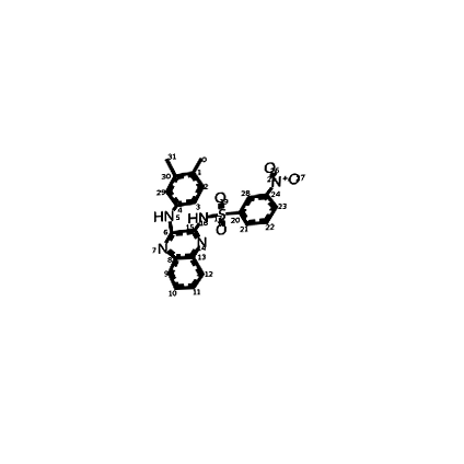 Cc1ccc(Nc2nc3ccccc3nc2NS(=O)(=O)c2cccc([N+](=O)[O-])c2)cc1C